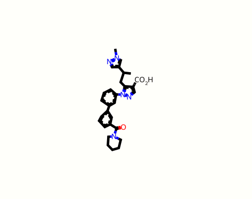 CC(Cc1c(C(=O)O)cnn1-c1cccc(-c2cccc(C(=O)N3CCCCC3)c2)c1)c1cnn(C)c1